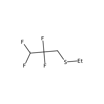 CCSCC(F)(F)[C](F)F